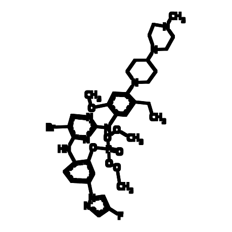 CCc1cc(Nc2ncc(Br)c(Nc3ccc(-n4cc(F)cn4)cc3OP(=O)(OOC)OOC)n2)c(OC)cc1N1CCC(N2CCN(C)CC2)CC1